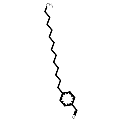 CCCCCCCCCCCCCCc1ccc(C=O)cc1